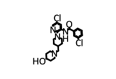 O=C(Nc1cc(Cl)cnc1N1CCC(CN2CCC(O)CC2)CC1)c1cccc(Cl)c1